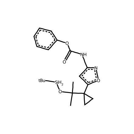 CC(C)(C)[SiH2]OC(C)(C)C1(c2cc(NC(=O)Oc3ccccc3)no2)CC1